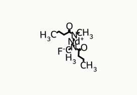 CCCC(=O)[N](C)[Nd+][N](C)C(=O)CCC.[F-]